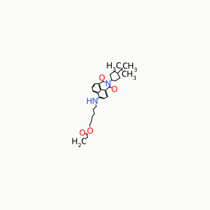 C=CC(=O)OCCCCCCNc1ccc2c3c(cccc13)C(=O)N(C1CCC(C(C)(C)C)CC1)C2=O